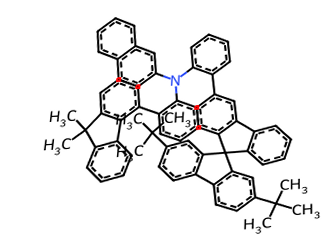 CC(C)(C)c1ccc2c(c1)C1(c3ccccc3-c3cc(-c4ccccc4N(c4ccc5ccccc5c4)c4ccccc4-c4cccc5c4-c4ccccc4C5(C)C)ccc31)c1cc(C(C)(C)C)ccc1-2